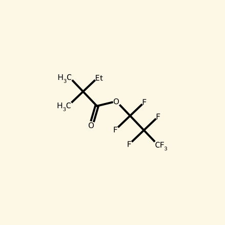 CCC(C)(C)C(=O)OC(F)(F)C(F)(F)C(F)(F)F